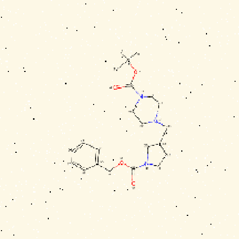 CC(C)(C)OC(=O)N1CCN(CC2CCN(C(=O)OCc3ccccc3)C2)CC1